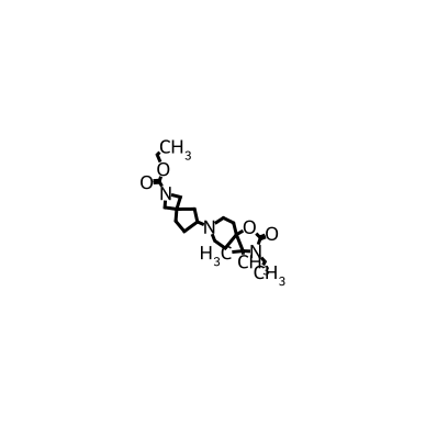 CCOC(=O)N1CC2(CCC(N3CCC4(CC3)OC(=O)N(CC)C4(C)C)C2)C1